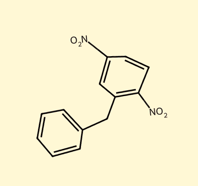 O=[N+]([O-])c1ccc([N+](=O)[O-])c(Cc2ccccc2)c1